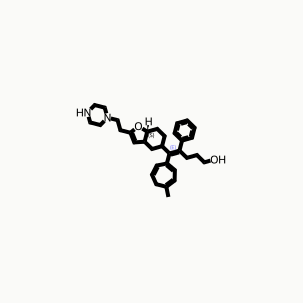 CC1=CC=C(/C(=C(\CCCO)c2ccccc2)C2CC[C@@H]3OC(CCN4CCNCC4)=CC3C2)C=CC1